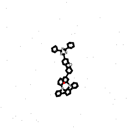 c1ccc(-c2nc(-c3ccccc3)nc(-c3ccc4c(c3)oc3ccc(-c5cccc(-n6c7ccccc7c7ccc8c9ccccc9n(-c9ccccc9)c8c76)c5)cc34)n2)cc1